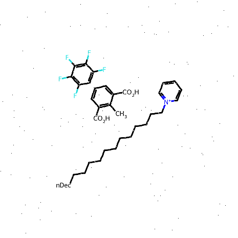 CCCCCCCCCCCCCCCCCCCCCC[n+]1ccccc1.Cc1c(C(=O)O)cccc1C(=O)O.Fc1cc(F)c(F)c(F)c1F